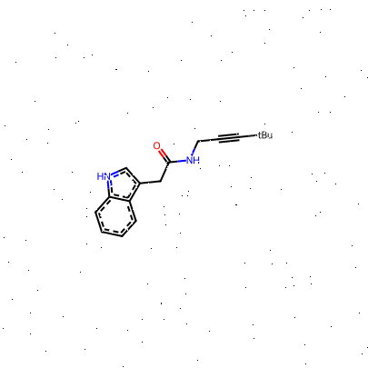 CC(C)(C)C#CCNC(=O)Cc1c[nH]c2ccccc12